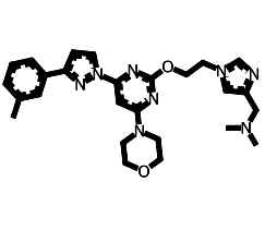 Cc1cccc(-c2ccn(-c3cc(N4CCOCC4)nc(OCCn4cnc(CN(C)C)c4)n3)n2)c1